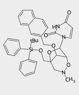 CN1CC2(CO[Si](c3ccccc3)(c3ccccc3)C(C)(C)C)OC(n3ccc(=O)[nH]c3=O)C(O1)C2OCc1ccc2ccccc2c1